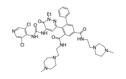 CCn1nc(-c2c(C(=O)NCCN3CCN(C)CC3)cc(C(=O)NCCN3CCN(C)CC3)cc2-c2ccccc2)cc(NC(=O)Nc2c(Cl)cncc2Cl)c1=O